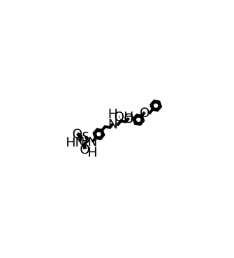 O=C1NC(=O)C(Nc2ccc(CCNC[C@H](O)COc3cccc(OCc4ccccc4)c3)cc2)S1